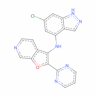 Clc1cc(Nc2c(-c3ncccn3)oc3cnccc23)c2cn[nH]c2c1